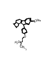 COc1ccc2c(c1)C(c1ccc(OCCN(C)C)cc1)c1c-2ccc2ccccc12